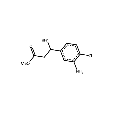 CCCC(CC(=O)OC)c1ccc(Cl)c(N)c1